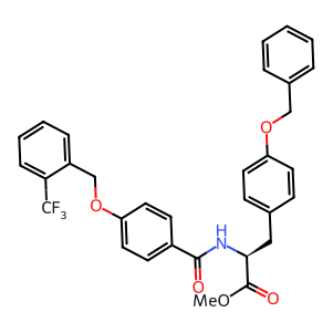 COC(=O)[C@H](Cc1ccc(OCc2ccccc2)cc1)NC(=O)c1ccc(OCc2ccccc2C(F)(F)F)cc1